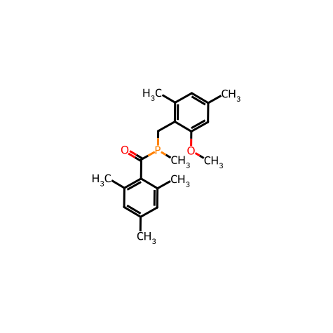 COc1cc(C)cc(C)c1CP(C)C(=O)c1c(C)cc(C)cc1C